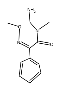 CON=C(C(=O)N(C)CN)c1ccccc1